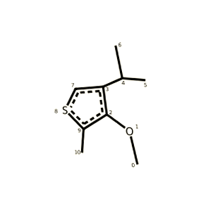 COc1c(C(C)C)csc1C